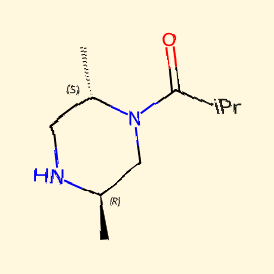 CC(C)C(=O)N1C[C@@H](C)NC[C@@H]1C